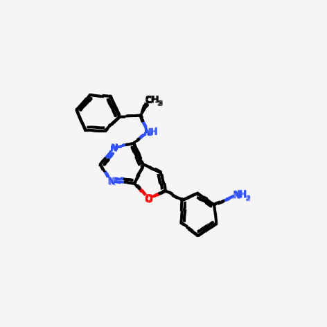 C[C@@H](Nc1ncnc2oc(-c3cccc(N)c3)cc12)c1ccccc1